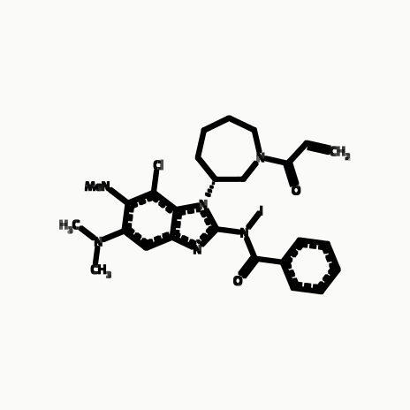 C=CC(=O)N1CCCC[C@@H](n2c(N(I)C(=O)c3ccccc3)nc3cc(N(C)C)c(NC)c(Cl)c32)C1